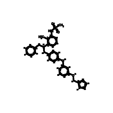 Cc1c(NS(C)(=O)=O)cccc1N(Cc1ccccc1)Cc1ccc(Oc2cccc(OCc3cccs3)c2)cc1